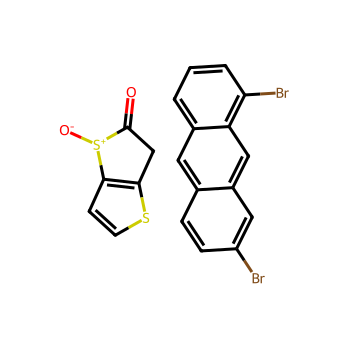 Brc1ccc2cc3cccc(Br)c3cc2c1.O=C1Cc2sccc2[S+]1[O-]